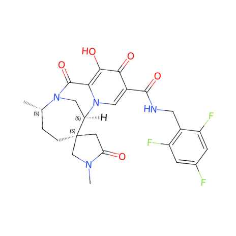 C[C@H]1CC[C@@]2(CC(=O)N(C)C2)[C@H]2CN1C(=O)c1c(O)c(=O)c(C(=O)NCc3c(F)cc(F)cc3F)cn12